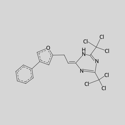 ClC(Cl)(Cl)C1=NC(=CCc2cc(-c3ccccc3)co2)NC(C(Cl)(Cl)Cl)=N1